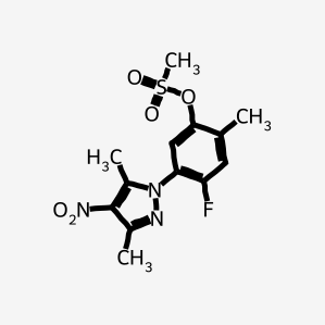 Cc1cc(F)c(-n2nc(C)c([N+](=O)[O-])c2C)cc1OS(C)(=O)=O